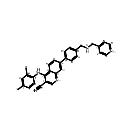 Cc1ccc(Nc2c(C#N)cnc3cc(-c4ccc(CNCc5ccncc5)cc4)ccc23)c(C)c1